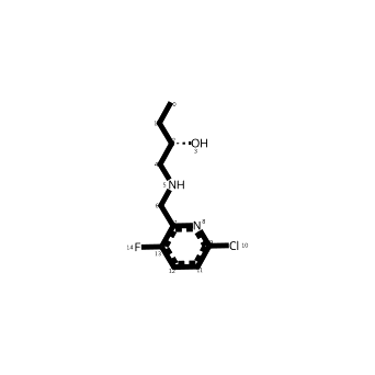 CC[C@H](O)CNCc1nc(Cl)ccc1F